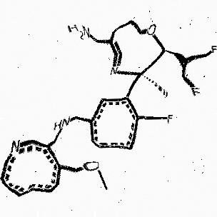 COc1cccnc1Nc1ccc(F)c([C@@]2(C)N=C(N)CO[C@H]2C(F)F)c1